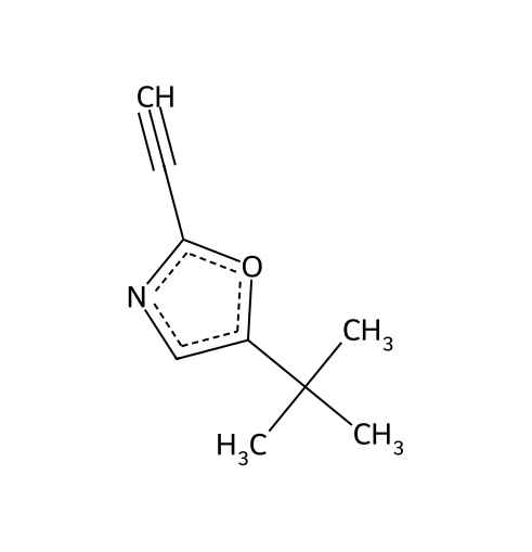 C#Cc1ncc(C(C)(C)C)o1